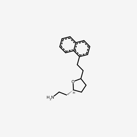 NCC[C@H]1CCC(CCc2cccc3ccccc23)O1